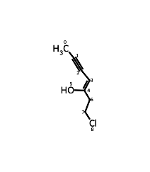 CC#CC=C(O)CCCl